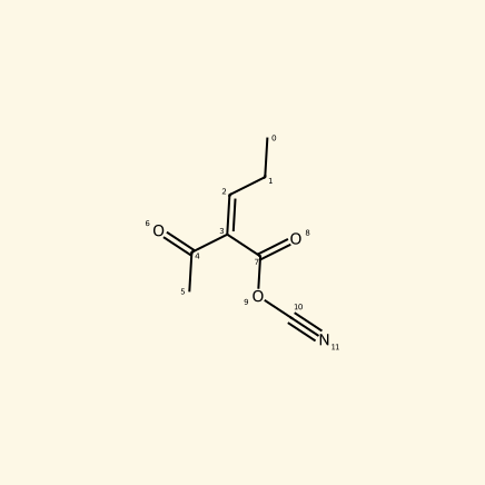 CCC=C(C(C)=O)C(=O)OC#N